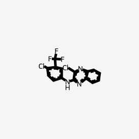 FC(F)(F)c1cc(Nc2nc3ccccc3nc2Cl)ccc1Cl